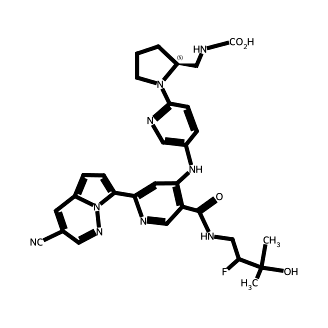 CC(C)(O)C(F)CNC(=O)c1cnc(-c2ccc3cc(C#N)cnn23)cc1Nc1ccc(N2CCC[C@H]2CNC(=O)O)nc1